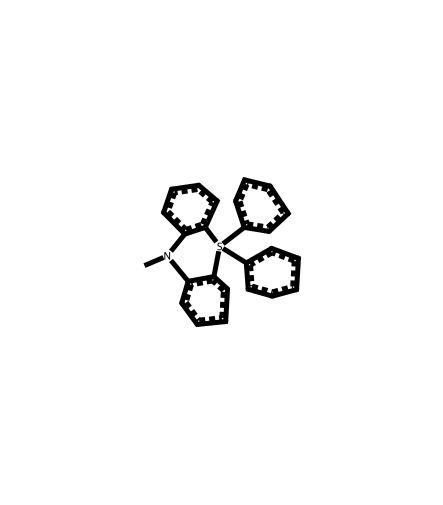 CN1c2ccccc2S(c2ccccc2)(c2ccccc2)c2ccccc21